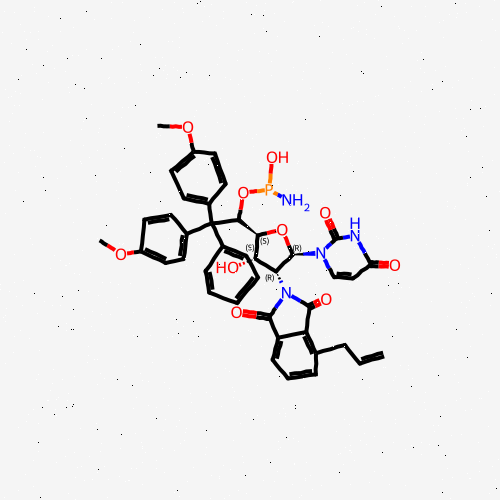 C=CCc1cccc2c1C(=O)N([C@@H]1[C@H](O)[C@@H](C(OP(N)O)C(c3ccccc3)(c3ccc(OC)cc3)c3ccc(OC)cc3)O[C@H]1n1ccc(=O)[nH]c1=O)C2=O